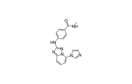 CNC(=O)c1ccc(Nc2nc3cccc(-n4ccnc4)n3n2)cc1